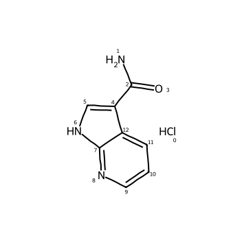 Cl.NC(=O)c1c[nH]c2ncccc12